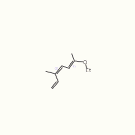 C=C/C(C)=C\C=C(/C)OCC